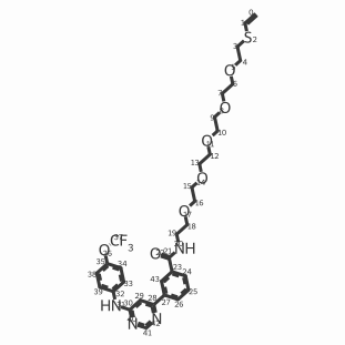 C=CSCCOCCOCCOCCOCCOCCNC(=O)c1cccc(-c2cc(Nc3ccc(OC(F)(F)F)cc3)ncn2)c1